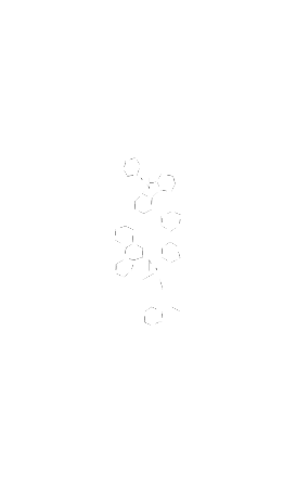 C1=Cc2c(cccc2C2C=CC(N(c3cccc(-c4cccc(-c5cccc6c5c5ccccc5n6-c5ccccc5)c4)c3)c3cc4ccccc4c4ccccc34)=CC2)CC1